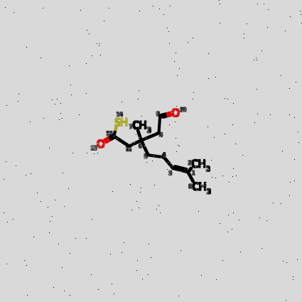 CC(C)=CCCC(C)(CC=O)CC(=O)S